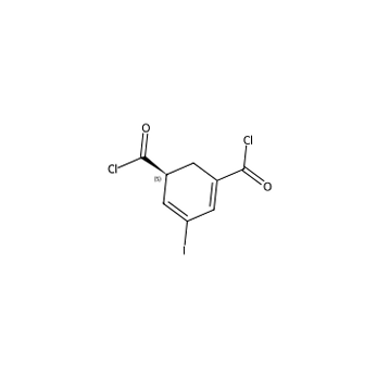 O=C(Cl)C1=CC(I)=C[C@@H](C(=O)Cl)C1